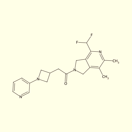 Cc1nc(C(F)F)c2c(c1C)CN(C(=O)CC1CN(c3cccnc3)C1)C2